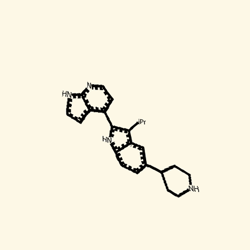 CC(C)c1c(-c2ccnc3[nH]ccc23)[nH]c2ccc(C3CCNCC3)cc12